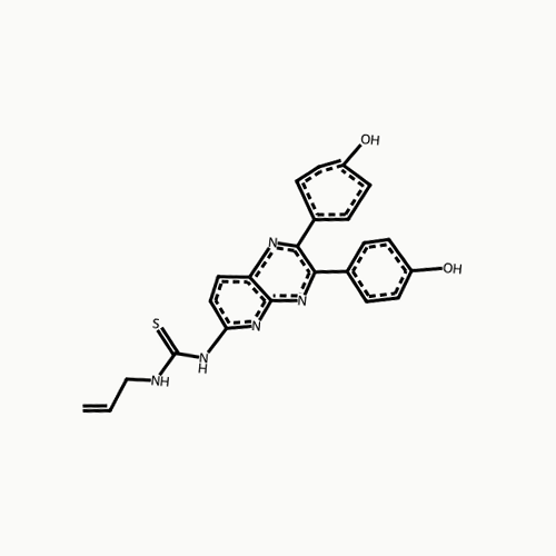 C=CCNC(=S)Nc1ccc2nc(-c3ccc(O)cc3)c(-c3ccc(O)cc3)nc2n1